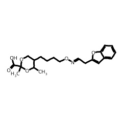 CC1OC(C)(C(=O)O)OCC1CCCCON=CCc1cc2ccccc2o1